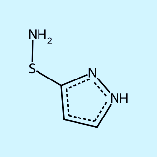 NSc1cc[nH]n1